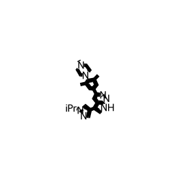 Cc1cc(-c2cc3c(-c4cnn(C(C)C)c4)c[nH]c3nn2)cc(C)c1N1CCN(C)CC1